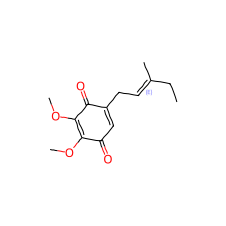 CC/C(C)=C/CC1=CC(=O)C(OC)=C(OC)C1=O